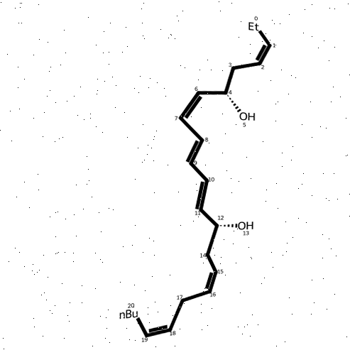 CC/C=C\C[C@H](O)\C=C/C=C/C=C/[C@H](O)C/C=C\C/C=C\CCCC